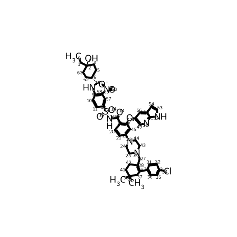 CC[C@]1(O)CC[C@H](CNc2ccc(S(=O)(=O)NC(=O)c3ccc(N4CCN(CC5=C(c6ccc(Cl)cc6)CC(C)(C)CC5)CC4)cc3Oc3cnc4[nH]ccc4c3)cc2[N+](=O)[O-])CC1